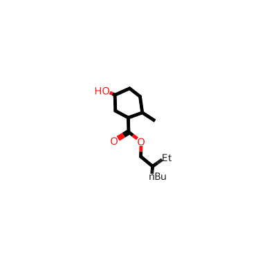 CCCCC(CC)COC(=O)C1CC(O)CCC1C